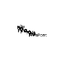 CCCCCC1COC(c2ccc(-c3ccc(-c4ccc(OCCCC)c(F)c4F)cc3)c(F)c2F)OC1